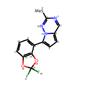 CSc1ncc2ccc(-c3cccc4c3OC(F)(F)O4)n2n1